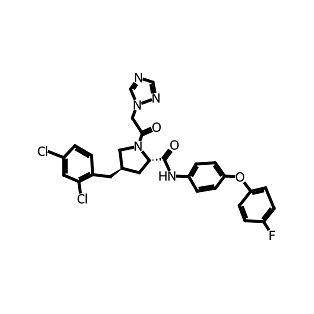 O=C(Nc1ccc(Oc2ccc(F)cc2)cc1)[C@@H]1C[C@@H](Cc2ccc(Cl)cc2Cl)CN1C(=O)Cn1cncn1